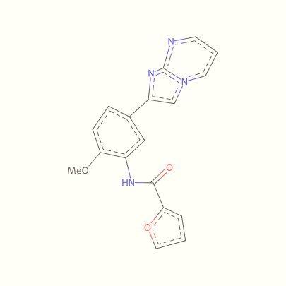 COc1ccc(-c2cn3cccnc3n2)cc1NC(=O)c1ccco1